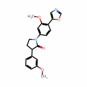 COc1cccc(C2CCN(c3ccc(-c4cnco4)c(OC)c3)C2=O)c1